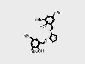 CCCCc1cc(/C=N/[C@H]2CCC[C@@H]2/N=C/c2cc(CCCC)cc(CCCC)c2O)c(O)c(CCCC)c1